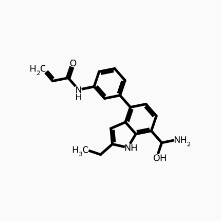 C=CC(=O)Nc1cccc(-c2ccc(C(N)O)c3[nH]c(CC)cc23)c1